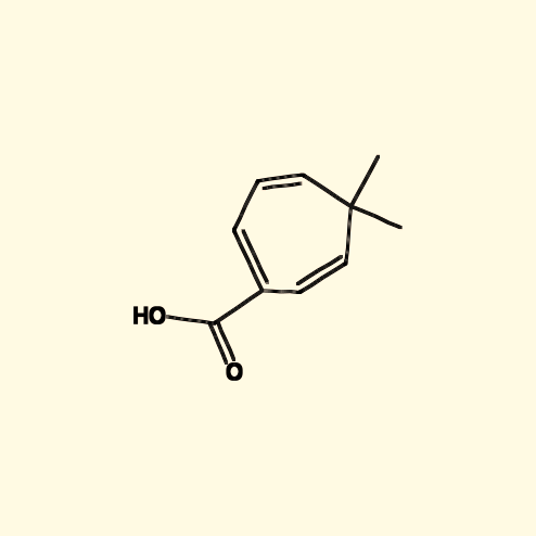 CC1(C)C=CC=C(C(=O)O)C=C1